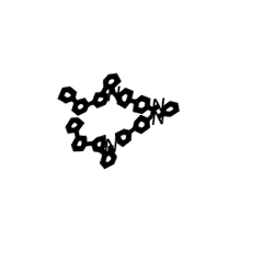 c1ccc(-c2cccc(-c3ccc4c(c3)c3ccccc3n4-c3ccc(-c4ccc(-c5nc6ccccc6nc5-c5ccc(-c6ccc(-n7c8ccccc8c8cc(-c9cccc(-c%10ccccc%10)c9)ccc87)cc6)cc5)cc4)cc3)c2)cc1